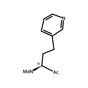 CN[C@@H](CCc1cccnc1)C(C)=O